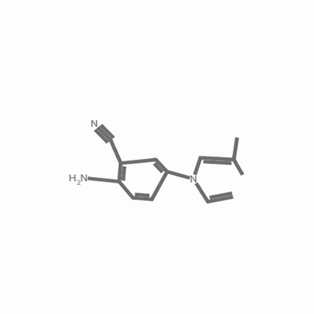 C=CN(C=C(C)C)c1ccc(N)c(C#N)c1